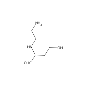 NCCNC([C]=O)CCO